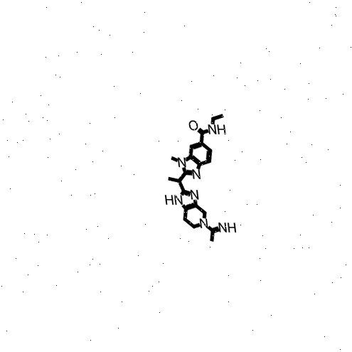 CCNC(=O)c1ccc2nc(C(C)c3nc4c([nH]3)CCN(C(C)=N)C4)n(C)c2c1